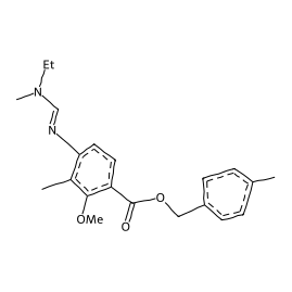 CCN(C)/C=N/c1ccc(C(=O)OCc2ccc(C)cc2)c(OC)c1C